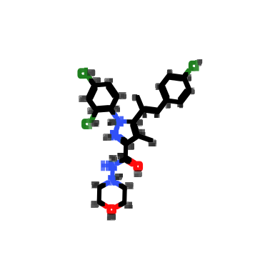 CC(=Cc1ccc(Cl)cc1)c1c(C)c(C(=O)NN2CCOCC2)nn1-c1ccc(Cl)cc1Cl